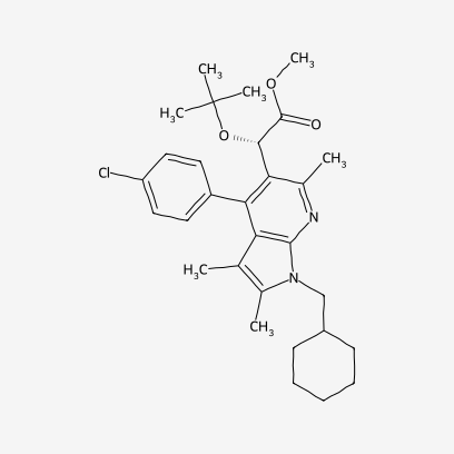 COC(=O)[C@@H](OC(C)(C)C)c1c(C)nc2c(c(C)c(C)n2CC2CCCCC2)c1-c1ccc(Cl)cc1